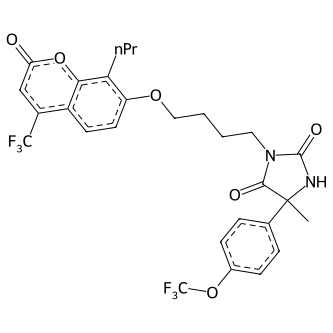 CCCc1c(OCCCCN2C(=O)NC(C)(c3ccc(OC(F)(F)F)cc3)C2=O)ccc2c(C(F)(F)F)cc(=O)oc12